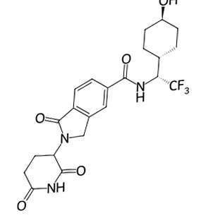 O=C1CCC(N2Cc3cc(C(=O)N[C@H]([C@H]4CC[C@H](O)CC4)C(F)(F)F)ccc3C2=O)C(=O)N1